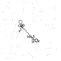 O=S(=O)(C1CCCCC1)N(CCF)CCCCCCCNC(=S)Nc1ccncc1